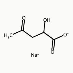 CC(=O)CC(O)C(=O)[O-].[Na+]